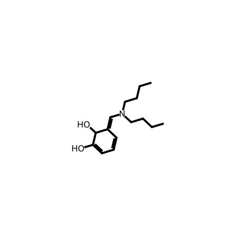 CCCCN(C=C1C=CC=C(O)C1O)CCCC